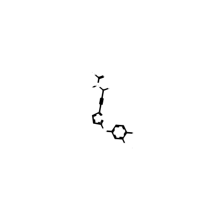 Cc1cc(Oc2ccc(C#CC(C)N(O)C(N)=O)o2)ccc1F